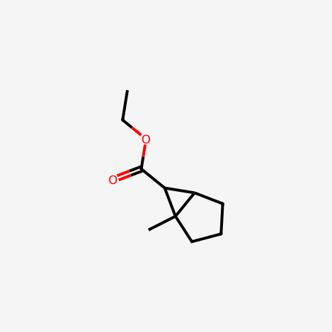 CCOC(=O)C1C2CCCC21C